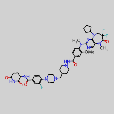 COc1cc(C(=O)NN2CCC(CN3CCN(c4ccc(C(=O)NC5CCC(=O)NC5=O)cc4F)CC3)CC2)ccc1N(C)c1ncc2c(n1)N(C1CCCC1)CC(F)(F)C(=O)N2C